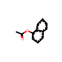 [CH2]C(=O)Oc1cccc2ccccc12